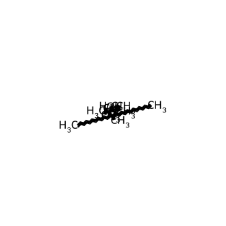 CCCCCCCCCCCCc1c(C)c(CCCCCCCCCCCC)c(C(C)(C)C)c(O)c1C(C)(C)C